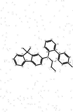 CC[C@@H](C)N(c1ccc2c(c1)C(C)(C)c1ccccc1-2)c1ccccc1-c1ccc(C)cc1